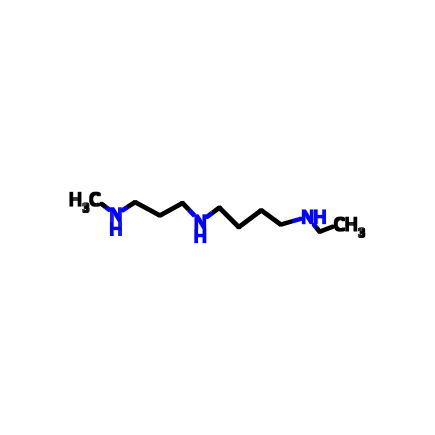 CCNCCCCNCCCNC